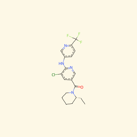 CC[C@@H]1CCCCN1C(=O)c1cnc(Nc2ccc(C(F)(F)F)nc2)c(Cl)c1